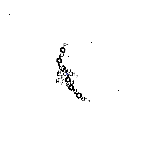 C/C(C(=O)N1CCN(Cc2ccc(COc3ccc(C(C)C)cc3)cc2)CC1)=C(/C)c1cc(C)c(Oc2ccc(OCc3ccc(C)cc3)cn2)c(Cl)c1.Cl